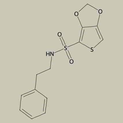 O=S(=O)(NCCc1ccccc1)c1scc2c1OCO2